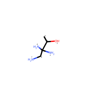 CC(O)C(N)(N)CN